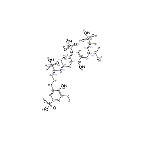 CCc1cc(S(=O)(=O)O)cc(CC/C=C(\C=C(/CO)Cc2cc(S(=O)(=O)O)cc(CC(/C=C(\C)S(=O)(=O)O)=C(/C)O)c2O)S(=O)(=O)O)c1O